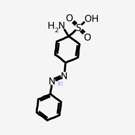 NC1(S(=O)(=O)O)C=CC(/N=N/c2ccccc2)C=C1